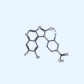 Cc1nc2cnc3cc(F)c(Br)cc3c2n1C1CCN(C(=O)O)CC1F